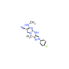 CNc1nc(Nc2cn(-c3ccc(F)cc3)nc2C)ncc1C#N